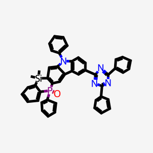 C[Si]1(C)c2ccccc2P(=O)(c2ccccc2)c2cc3c4cc(-c5nc(-c6ccccc6)nc(-c6ccccc6)n5)ccc4n(-c4ccccc4)c3cc21